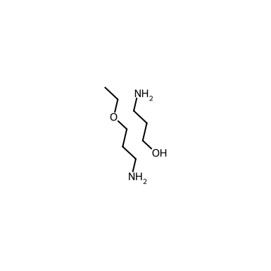 CCOCCCN.NCCCO